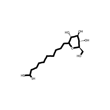 OC[C@H]1OC(CCCCCCCCCC(S)S)[C@H](O)[C@@H](O)[C@@H]1O